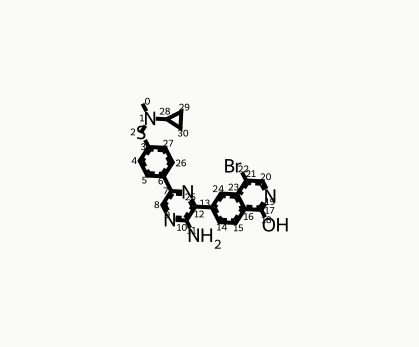 CN(Sc1ccc(-c2cnc(N)c(-c3ccc4c(O)ncc(Br)c4c3)n2)cc1)C1CC1